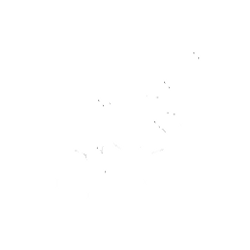 C[C@@H](O)[C@H]1C(=O)N2C(C(=O)[O-])=C(S/C=C\c3nc(C(=O)N4CC(C#N)C4)cs3)[C@H](C)[C@H]12.[Na+]